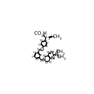 CC#C[C@@H](CC(=O)O)c1ccc(OCc2cccc(CN3CCc4nc(N(C)C)ncc4C3)c2)cc1